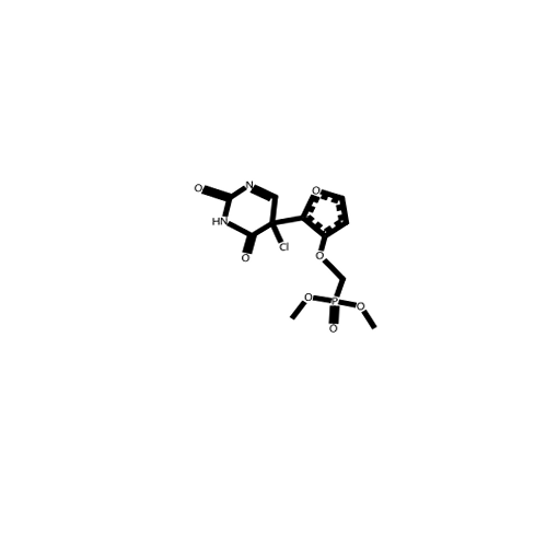 COP(=O)(COc1ccoc1C1(Cl)C=NC(=O)NC1=O)OC